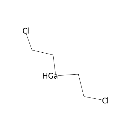 ClC[CH2][GaH][CH2]CCl